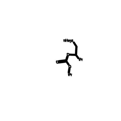 CCCCCCCCC(OC(=O)OC(C)C)C(C)C